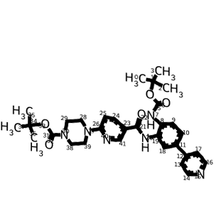 CC(C)(C)OC(=O)Nc1ccc(-c2ccncc2)cc1NC(=O)c1ccc(N2CCN(C(=O)OC(C)(C)C)CC2)nc1